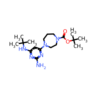 CC(C)(C)Nc1cc(N2CCCN(C(=O)OC(C)(C)C)CC2)nc(N)n1